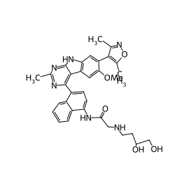 COc1cc2c(cc1-c1c(C)noc1C)[nH]c1nc(C)nc(-c3ccc(NC(=O)CNCCC(O)CO)c4ccccc34)c12